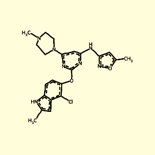 Cc1cc2c(Cl)c(Oc3nc(Nc4cc(C)on4)cc(N4CCN(C)CC4)n3)ccc2[nH]1